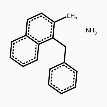 Cc1ccc2ccccc2c1Cc1ccccc1.N